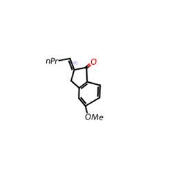 CCC/C=C1\Cc2cc(OC)ccc2C1=O